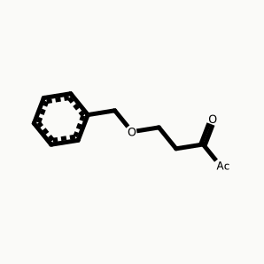 CC(=O)C(=O)CCOCc1ccccc1